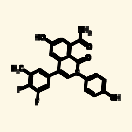 Cc1cc(-c2cn(-c3ccc(O)cc3)c(=O)c3c(C(N)=O)cc(O)cc23)cc(F)c1F